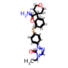 CCn1cnn(-c2ccc(Sc3cccc(C4(C(N)=O)CCOCC4)c3)cc2)c1=O